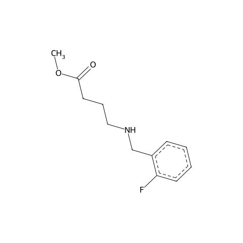 COC(=O)CCCNCc1ccccc1F